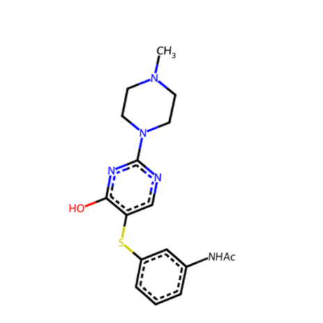 CC(=O)Nc1cccc(Sc2cnc(N3CCN(C)CC3)nc2O)c1